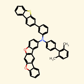 Cc1cccc(C)c1-c1ccc(N(c2cccc(-c3ccc4c(c3)sc3ccccc34)c2)c2ccc3oc4cc5oc6ccccc6c5cc4c3c2)cc1